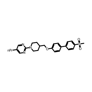 CCCc1cnc(N2CCC(COc3ccc(-c4ccc(S(C)(=O)=O)cc4)cc3)CC2)nc1